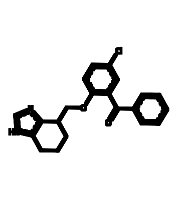 O=C(c1ccccc1)c1cc(Cl)ccc1OCC1CCCc2[nH]cnc21